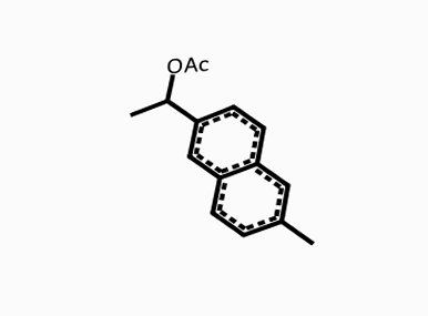 CC(=O)OC(C)c1ccc2cc(C)ccc2c1